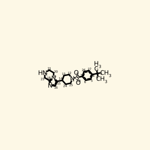 CC(C)(C)c1ccc(S(=O)(=O)N2CCC(c3cnc4n3CCNC4)CC2)cc1